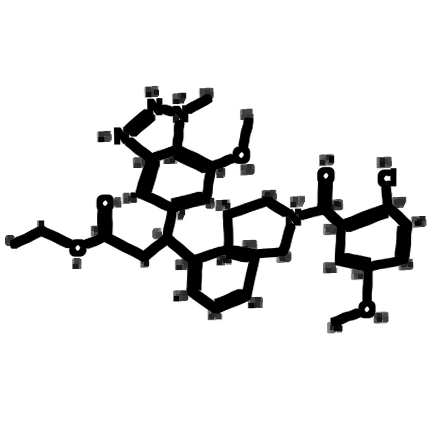 CCOC(=O)CC(c1cc(OC)c2c(c1)nnn2C)c1cccc2c1CCN(C(=O)c1cc(OC)ccc1Cl)C2